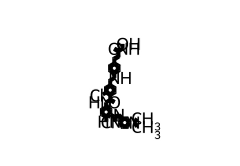 CN(C)c1ccc2[nH]c(-c3cc(NC(=O)c4ccc(CNc5ccc(/C=C/C(=O)NO)cc5)cc4Cl)ccc3Cl)nc2c1